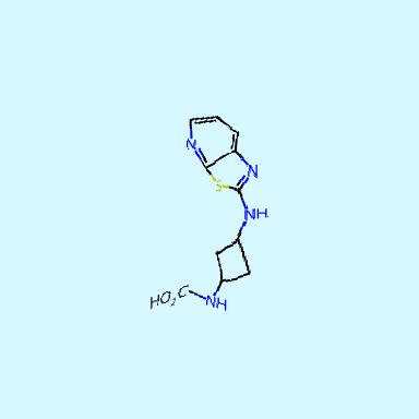 O=C(O)NC1CC(Nc2nc3cccnc3s2)C1